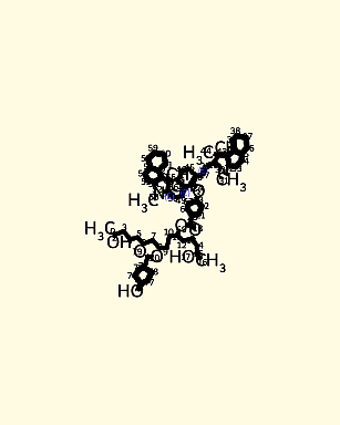 CC(O)CCCC1CC(CCC2CC(CC(C)O)OC(c3ccc(OC4=C(/C=C/C5=[N+](C)c6ccc7ccccc7c6C5(C)C)CCC/C4=C\C=C4\N(C)c5ccc6ccccc6c5C4(C)C)cc3)O2)OC(c2ccc(O)cc2)O1